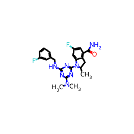 CC1Cc2c(C(N)=O)cc(F)cc2N1c1nc(NCc2cccc(F)c2)nc(N(C)C)n1